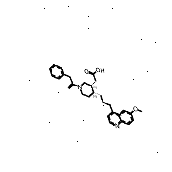 C=C(Cc1ccccc1)N1CC[C@@H](CCCc2ccnc3ccc(OC)cc23)[C@@H](CC(=O)O)C1